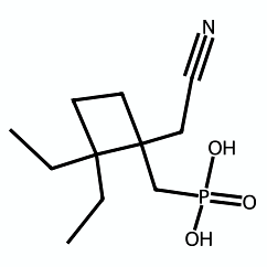 CCC1(CC)CCC1(CC#N)CP(=O)(O)O